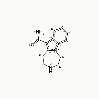 NC(=O)c1c2n(c3ccccc13)CCNCC2